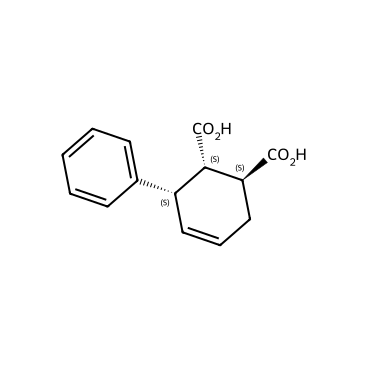 O=C(O)[C@@H]1[C@@H](C(=O)O)CC=C[C@@H]1c1ccccc1